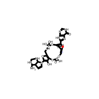 NC1NCNC2C1C=CN2c1oc2c(c1O)OP(=O)(S)O/C=C1/OC(c3nc4c(=O)[nH]cnc4[nH]3)=C(O[PH](O)(O)OC2)[C@@H]1O